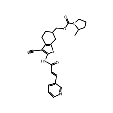 CC1CCCN1C(=O)OCC1CCc2c(sc(NC(=O)C=Cc3cccnc3)c2C#N)C1